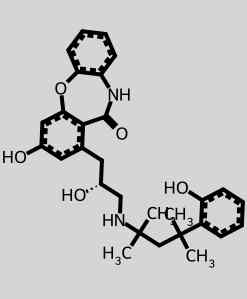 CC(C)(CC(C)(C)c1ccccc1O)NC[C@H](O)Cc1cc(O)cc2c1C(=O)Nc1ccccc1O2